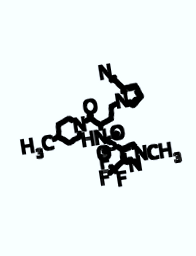 CC1CCN(C(=O)C(CCn2cccc2C#N)NS(=O)(=O)c2cn(C)nc2C(F)(F)F)CC1